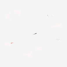 COc1cc([C@@H]2c3cc4c(cc3[C@H](O)C3COC(=O)[C@@H]32)OCO4)cc(OC)c1O